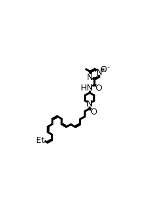 CC/C=C\C/C=C\C/C=C\C/C=C\C/C=C\CCCC(=O)N1CCC(NC(=O)c2c[n+]([O-])cc(C)n2)CC1